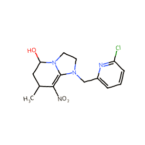 CC1CC(O)N2CCN(Cc3cccc(Cl)n3)C2=C1[N+](=O)[O-]